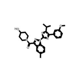 COc1cccc(-c2nc(-n3nc(C(=O)N4CCC(O)CC4)c4cc(C)ccc43)sc2C(C)C)c1